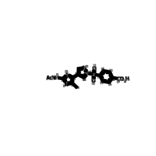 CC(=O)Nc1nc(C)c(-c2cnn(S(=O)(=O)c3ccc(C(=O)O)cc3)c2)s1